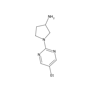 CCc1cnc(N2CCC(N)C2)nc1